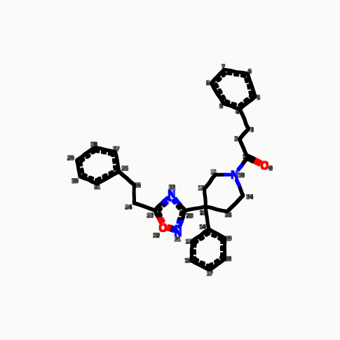 O=C(CCc1ccccc1)N1CCC(c2ccccc2)(c2noc(CCc3ccccc3)n2)CC1